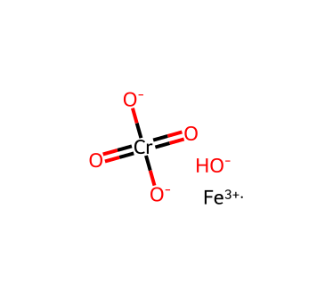 [Fe+3].[OH-].[O]=[Cr](=[O])([O-])[O-]